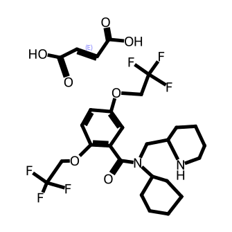 O=C(O)/C=C/C(=O)O.O=C(c1cc(OCC(F)(F)F)ccc1OCC(F)(F)F)N(CC1CCCCN1)C1CCCCC1